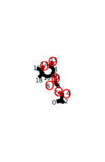 C=C(C)C(=O)OCC(=O)OC1CC(=O)OC(C)C(C)C1